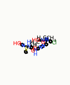 Cc1cc(S(=O)(=O)Nc2ccc(N3CCN(c4cccc(-c5c(C(=O)N[C@H]6C[C@@](C)(O)C6)c(C)n(C)c5-c5ccc(Cl)cc5)c4)CC3)cc2)ccc1N[C@H](CCN1CCC(O)CC1)CSc1ccccc1